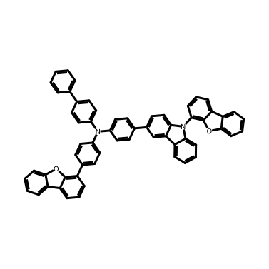 c1ccc(-c2ccc(N(c3ccc(-c4ccc5c(c4)c4ccccc4n5-c4cccc5c4oc4ccccc45)cc3)c3ccc(-c4cccc5c4oc4ccccc45)cc3)cc2)cc1